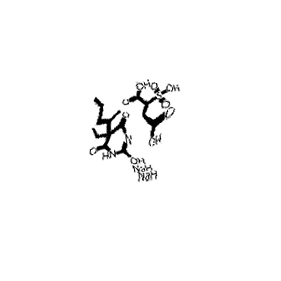 CCCC(C)C1(CC)C(=O)N=C(O)NC1=O.O=C(O)CC(C(=O)O)S(=O)(=O)O.[NaH].[NaH]